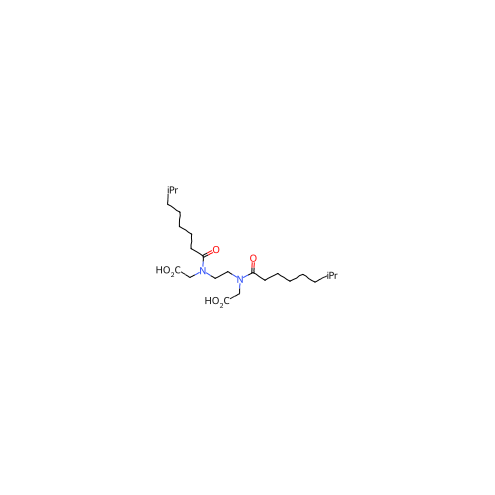 CC(C)CCCCCC(=O)N(CCN(CC(=O)O)C(=O)CCCCCC(C)C)CC(=O)O